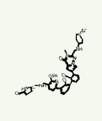 COc1nc(-c2cccc(-c3cccc(-c4cc5c(=O)n(C)c(CNC6CCN(C(C)=O)CC6)nn5c4)c3Cl)c2Cl)ccc1CNC[C@@H]1CCC(=O)N1